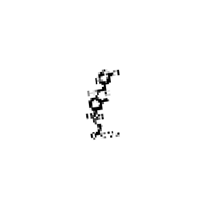 COC(=O)CNS(=O)(=O)c1ccc(NC(=O)c2cc(Cl)ncn2)c(C)c1